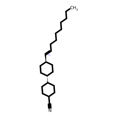 CCCCCCCC/C=C/[C@H]1CC[C@H](C2CCC(C#N)CC2)CC1